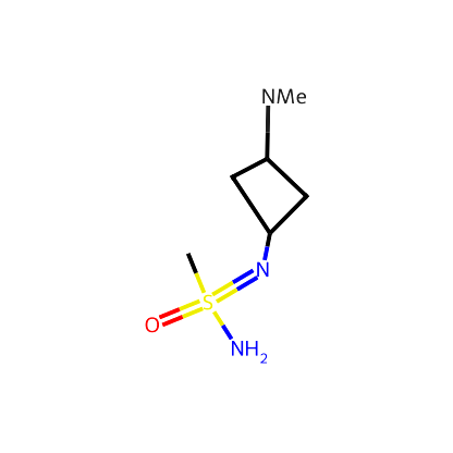 CNC1CC(N=S(C)(N)=O)C1